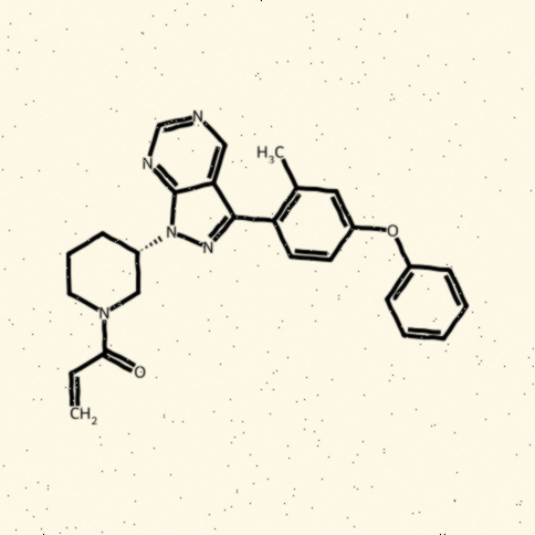 C=CC(=O)N1CCC[C@H](n2nc(-c3ccc(Oc4ccccc4)cc3C)c3cncnc32)C1